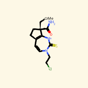 COC[C@]1(C(N)=O)CCC2=C1NC(=S)N(CCCl)C=C2